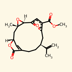 C=C(C)[C@H]1CCC2=C[C@@H](C[C@]3(C)O[C@H]3c3cc(C(=O)OC)c(o3)C1)OC2=O